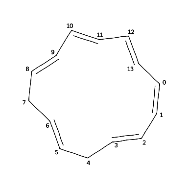 C1=C\C=C\C/C=C/C/C=C/C=C/C=C/1